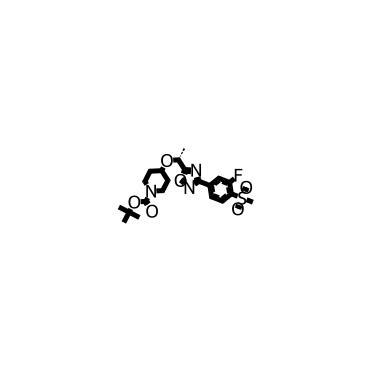 C[C@@H](OC1CCN(C(=O)OC(C)(C)C)CC1)c1nc(-c2ccc(S(C)(=O)=O)c(F)c2)no1